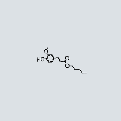 CCCCCOC(=O)C=Cc1ccc(O)c(OC)c1